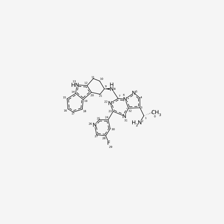 C[C@H](N)c1cnn2c(N[C@@H]3CCc4[nH]c5ccccc5c4C3)nc(-c3cncc(F)c3)nc12